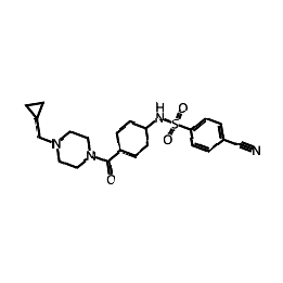 N#Cc1ccc(S(=O)(=O)NC2CCC(C(=O)N3CCN(CC4CC4)CC3)CC2)cc1